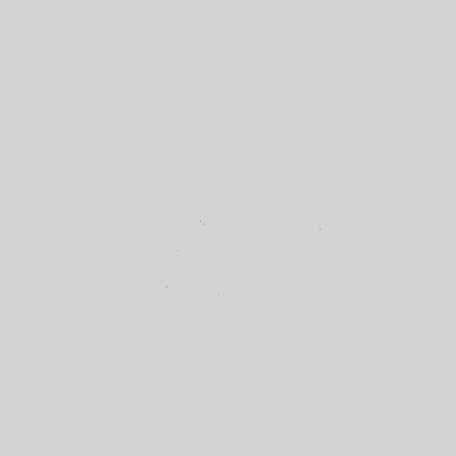 CCOC(=O)CN(C(=O)Cc1cccc(C(F)(F)F)c1)c1c(Cl)cccc1Cl